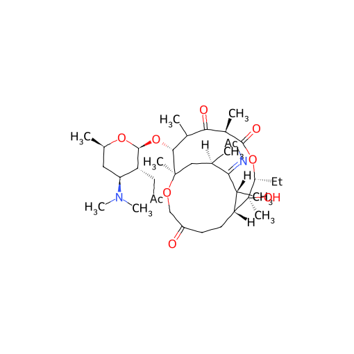 CC[C@H]1OC(=O)[C@H](C)C(=O)C(C)[C@@H](O[C@@H]2O[C@H](C)C[C@H](N(C)C)[C@H]2CC(C)=O)[C@@]2(C)C[C@@H](C)/C(=N\C(C)=O)[C@H](C)[C@@H](CCC(=O)CO2)[C@]1(C)O